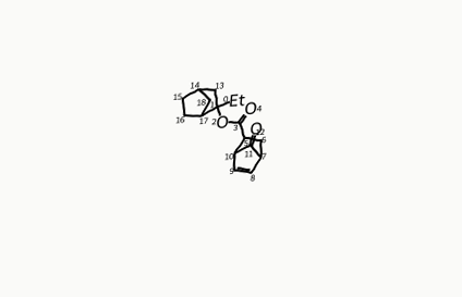 CCC1(OC(=O)C2CC3C=CC2C3=O)CC2CCC1C2